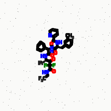 Cc1cccc(C[C@H](NC(=O)c2ccccn2)C(=O)N[C@H](C(=O)N[C@H](C(=O)C(F)(F)C(=O)NCC(F)(F)F)C(C)C)c2ccccc2)c1